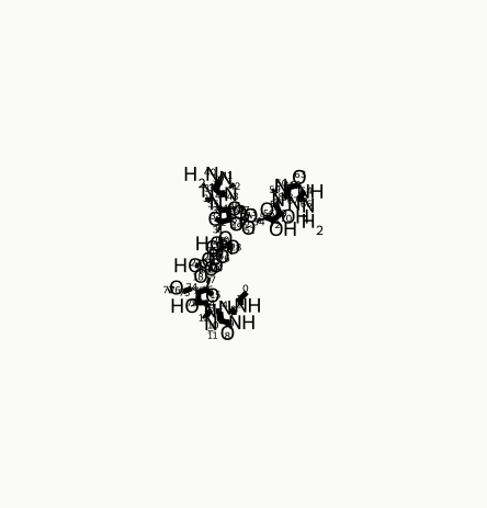 CCNc1nc2c(c(=O)[nH]1)[n+](C)cn2[C@@H]1O[C@H](COP(=O)(O)OP(=O)(O)OP(=O)(O)OC[C@H]2O[C@@H](n3cnc4c(N)ncnc43)[C@H](OC)[C@@H]2OP(=O)(O)OC[C@H]2O[C@@H](n3cnc4c(=O)[nH]c(N)nc43)[C@H](O)[C@@H]2O)[C@@H](CCOC)[C@H]1O